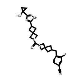 N#Cc1ccc(CC2CC3(C2)CN(C(=O)N2CC4(CC(c5nc(C6(O)CC6)n[nH]5)C4)C2)C3)c(F)c1